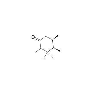 CC1C(=O)C[C@@H](C)[C@@H](C)C1(C)C